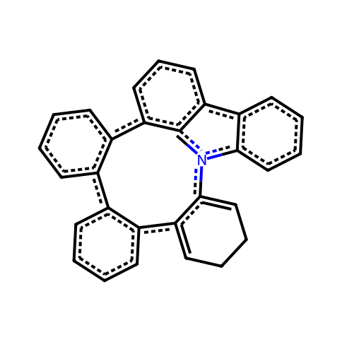 C1=c2c(n3c4ccccc4c4cccc(c5ccccc5c5ccccc25)c43)=CCC1